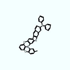 Cc1ccc2c(c1)B1c3cc4sc5cc6cc(N(c7ccccc7)c7ccccc7)ccc6cc5c4cc3Oc3cccc(c31)O2